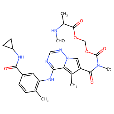 CCN(C(=O)OCOC(=O)C(C)NC=O)C(=O)c1cn2ncnc(Nc3cc(C(=O)NC4CC4)ccc3C)c2c1C